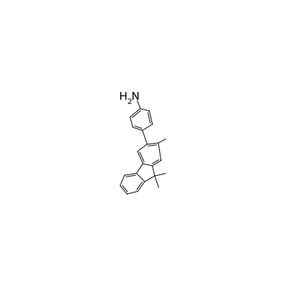 Cc1cc2c(cc1-c1ccc(N)cc1)-c1ccccc1C2(C)C